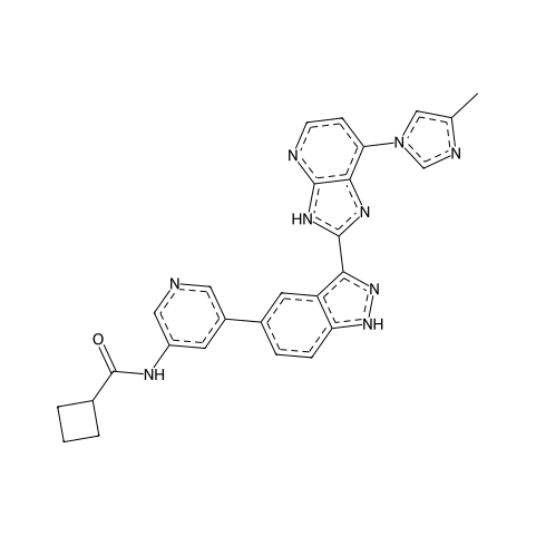 Cc1cn(-c2ccnc3[nH]c(-c4n[nH]c5ccc(-c6cncc(NC(=O)C7CCC7)c6)cc45)nc23)cn1